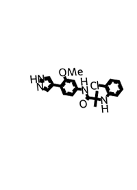 COc1cc(NC(=O)C(C)(C)Nc2ccccc2Cl)ccc1-c1cn[nH]c1